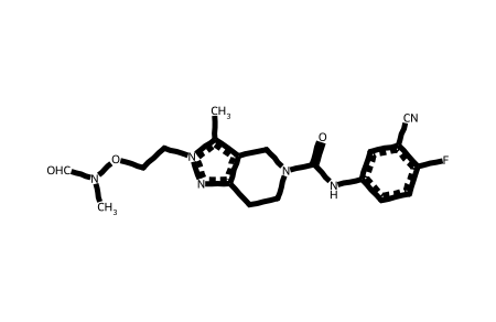 Cc1c2c(nn1CCON(C)C=O)CCN(C(=O)Nc1ccc(F)c(C#N)c1)C2